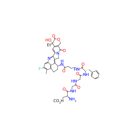 CC[C@@]1(O)C(=O)OCc2c1cc1n(c2=O)Cc2c-1nc1cc(F)c(C)c3c1c2[C@@H](NC(=O)CCCNC(=O)[C@H](Cc1ccccc1)NC(=O)CNC(=O)CNC(=O)[C@@H](N)CC(=O)O)CC3